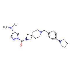 CC(=O)N(C)c1cnn(C(=O)N2CC3(CCN(Cc4ccc(N5CCCC5)cc4)CC3)C2)c1